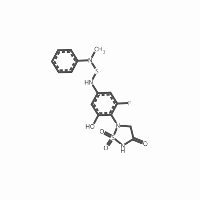 CN(SNc1cc(O)c(N2CC(=O)NS2(=O)=O)c(F)c1)c1ccccc1